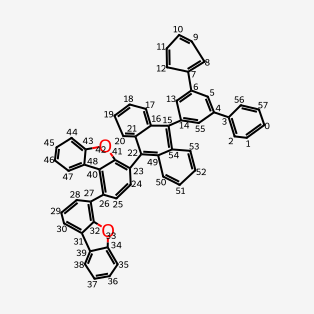 c1ccc(-c2cc(-c3ccccc3)cc(-c3c4ccccc4c(-c4ccc(-c5cccc6c5oc5ccccc56)c5c4oc4ccccc45)c4ccccc34)c2)cc1